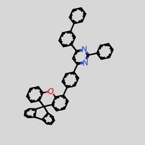 c1ccc(-c2cccc(-c3cc(-c4ccc(-c5cccc6c5Oc5ccccc5C65c6ccccc6-c6ccccc65)cc4)nc(-c4ccccc4)n3)c2)cc1